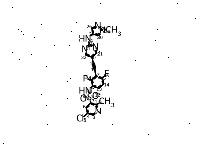 Cc1ncc(Cl)cc1S(=O)(=O)Nc1ccc(F)c(C#Cc2cnc(Nc3cnn(C)c3)nc2)c1F